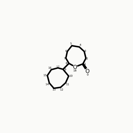 O=C1CCCCCCC(C2CCCCCCCC2)O1